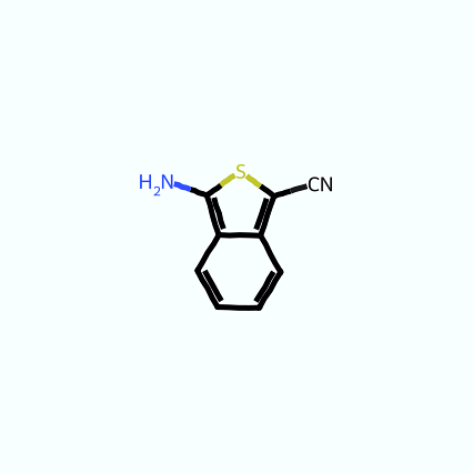 N#Cc1sc(N)c2ccccc12